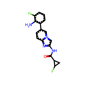 Nc1c(F)cccc1-c1ccc2nc(NC(=O)C3CC3F)cn2c1